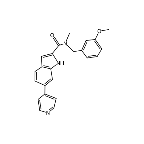 COc1cccc(CN(C)C(=O)c2cc3ccc(-c4ccncc4)cc3[nH]2)c1